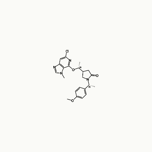 COc1ccc([C@@H](C)N2CC([C@@H](C)Oc3nc(Cl)cc4ncn(C)c34)CC2=O)cc1